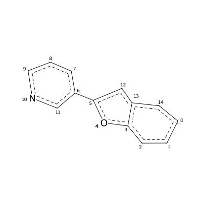 [c]1ccc2oc(-c3cccnc3)cc2c1